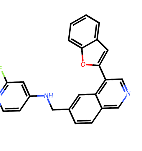 Fc1cc(NCc2ccc3cncc(-c4cc5ccccc5o4)c3c2)ccn1